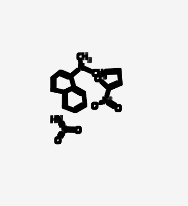 CN(C)c1cccc2ccccc12.N=S(=O)=O.O=[N+]([O-])c1ccco1